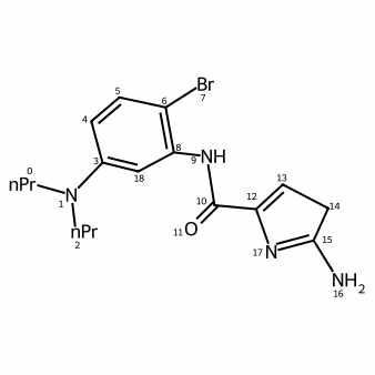 CCCN(CCC)c1ccc(Br)c(NC(=O)C2=CCC(N)=N2)c1